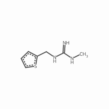 CNC(=N)NCc1cccs1